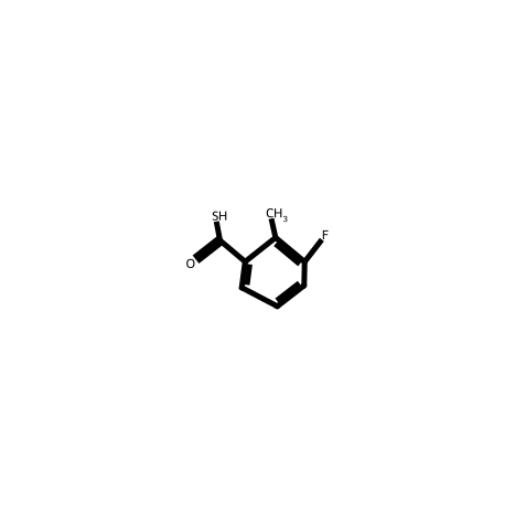 Cc1c(F)cccc1C(=O)S